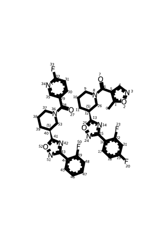 Cc1oncc1C(=O)N1CCC[C@H](c2nc(-c3ccc(F)cc3F)no2)C1.O=C(c1ccc(F)nc1)N1CCC[C@H](c2nc(-c3ccccc3F)no2)C1